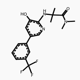 CN(C)C(=O)C(C)(C)Nc1ncc(-c2cccc(C(F)(F)F)c2)cc1O